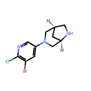 Clc1ncc(N2C[C@H]3CN[C@H](C3)C2)cc1Br